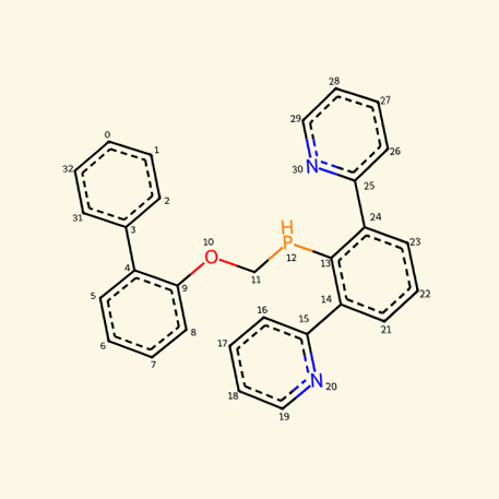 c1ccc(-c2ccccc2OCPc2c(-c3ccccn3)cccc2-c2ccccn2)cc1